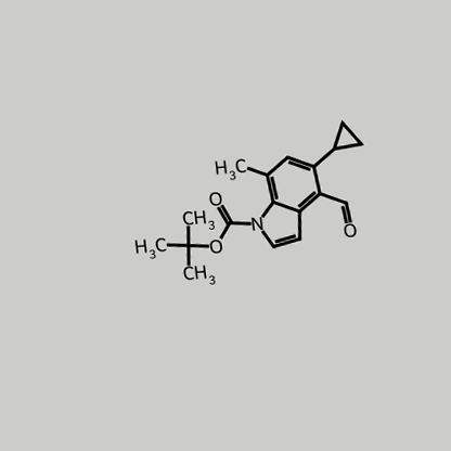 Cc1cc(C2CC2)c(C=O)c2ccn(C(=O)OC(C)(C)C)c12